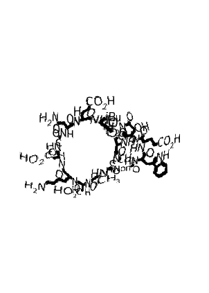 CCCCCCCCCC(=O)NC(Cc1c[nH]c2ccccc12)C(=O)NC(CCC(=O)O)C(=O)NC(C(=O)NC1C(=O)N(C)CC(=O)NC(C)C(=O)NC(CC(=O)O)C(=O)NC(CCCCN)C(=O)NC(CC(=O)O)C(=O)NCC(=O)NC(CC(N)=O)C(=O)NC(CCC(=O)O)C(=O)NC(C(C)CC)C(=O)OC1C)C(O)C(N)=O